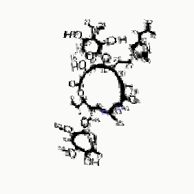 CC[C@H]1OC(=O)C[C@@H](O)[C@H](C)[C@@H](O[C@@H]2O[C@H](C)[C@@H](O)C(N(C)C)C2O)[C@@H](CCn2cc(CC(C)C)nn2)C[C@@H](C)C(=O)/C=C/C(C)=C/[C@@H]1CO[C@@H]1OC(C)C(O)=C(OC)CC1OC